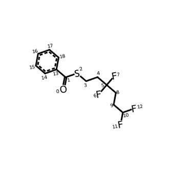 O=C(SCCC(F)(F)CCC(F)F)c1ccccc1